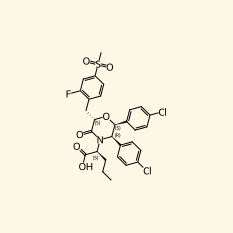 CCC[C@@H](C(=O)O)N1C(=O)[C@H](Cc2ccc(S(C)(=O)=O)cc2F)O[C@@H](c2ccc(Cl)cc2)[C@H]1c1ccc(Cl)cc1